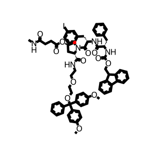 CNC(=O)CCC(=O)O[C@@H]1C[C@@H](C(=O)NCCOCCOC(c2ccccc2)(c2ccc(OC)cc2)c2ccc(OC)cc2)N(C(=O)[C@H](Cc2cccc(I)c2)NC(=O)[C@H](Cc2ccccc2)NC(=O)OCC2c3ccccc3-c3ccccc32)C1